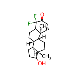 C[C@]12CCC(=O)C(F)(F)C1CC[C@@H]1[C@H]2CC[C@]2(C)C(O)CC[C@@H]12